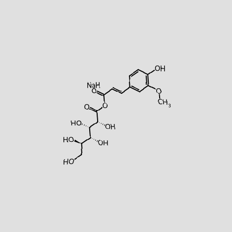 COc1cc(C=CC(=O)OC(=O)[C@H](O)[C@@H](O)[C@H](O)[C@H](O)CO)ccc1O.[NaH]